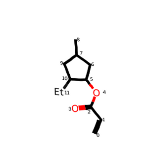 C=CC(=O)OC1CC(C)CC1CC